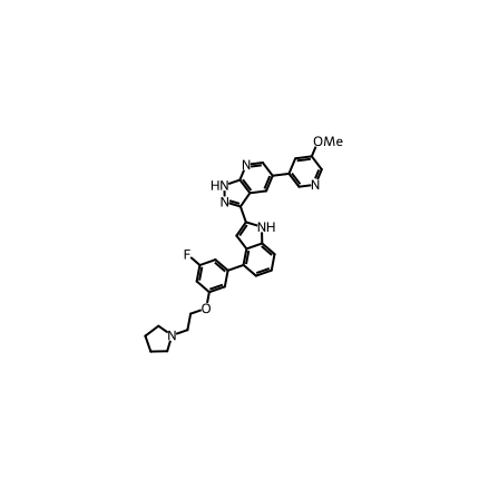 COc1cncc(-c2cnc3[nH]nc(-c4cc5c(-c6cc(F)cc(OCCN7CCCC7)c6)cccc5[nH]4)c3c2)c1